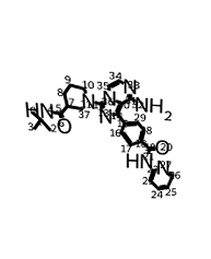 CC(C)(C)NC(=O)C1CCCN(c2nc(-c3ccc(C(=O)Nc4ccccn4)cc3)c3c(N)nccn23)C1